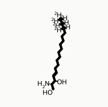 [2H]C([2H])([2H])C([2H])([2H])C([2H])([2H])CCCCCCCCCC/C=C/[C@@H](O)[C@@H](N)CO